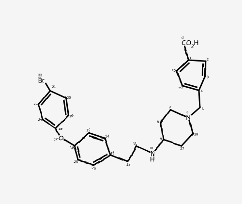 O=C(O)c1ccc(CN2CCC(NCCc3ccc(Oc4ccc(Br)cc4)cc3)CC2)cc1